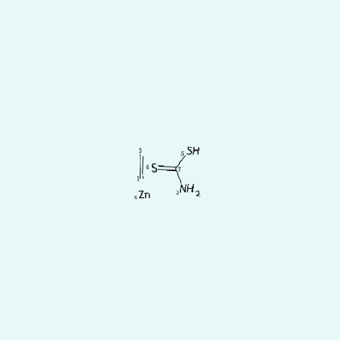 C=C.NC(=S)S.[Zn]